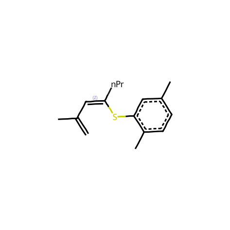 C=C(C)/C=C(/CCC)Sc1cc(C)ccc1C